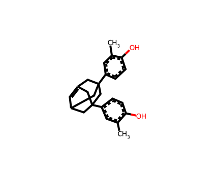 Cc1cc(C23CC4=CC(C2)CC(c2ccc(O)c(C)c2)(C4)C3)ccc1O